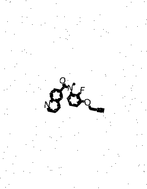 C#CCOc1cccc(N(C)C(=O)c2ccc3ncccc3c2)c1F